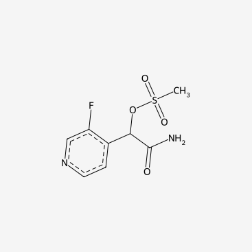 CS(=O)(=O)OC(C(N)=O)c1ccncc1F